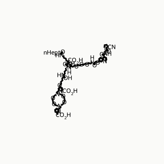 CCCCCCCC(=O)NCCCC[C@H](NC(=O)[C@H](CCCCNC(O)CCCCOc1cc(CN2CCOCCOCCN(Cc3cccc(C(=O)O)n3)CCOCCOCC2)nc(C(=O)O)c1)NC(=O)CCOCCOCCOCCNC(=O)COc1ccc2c(C(=O)NCC(=O)N3CCC[C@H]3C#N)ccnc2c1)C(=O)O